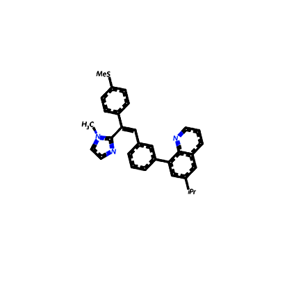 CSc1ccc(C(=Cc2cccc(-c3cc(C(C)C)cc4cccnc34)c2)c2nccn2C)cc1